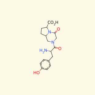 NC(Cc1ccc(O)cc1)C(=O)N1CC(=O)N2C(CCC2C(=O)O)C1